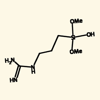 CO[Si](O)(CCCNC(=N)N)OC